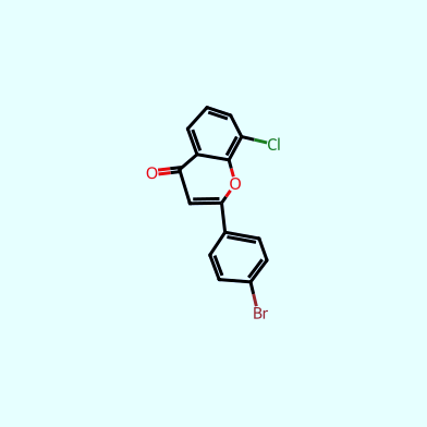 O=c1cc(-c2ccc(Br)cc2)oc2c(Cl)cccc12